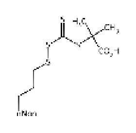 CCCCCCCCCCCCSSC(=S)SC(C)(C)C(=O)O